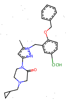 Cc1cc(N2CCN(CC3CC3)CC2=O)nn1Cc1cc(Cl)ccc1OCc1ccccc1.Cl